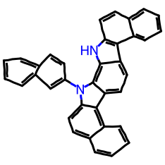 c1ccc2cc(-n3c4ccc5ccccc5c4c4ccc5c([nH]c6ccc7ccccc7c65)c43)ccc2c1